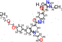 CCCCOCCOc1ccc(-c2ccc3c(c2)C=C(C(=O)Nc2ccc([S+]([O-])Cc4c(C)ncn4CC)cc2)CCN3C[C@@H]2CCOC2)cc1